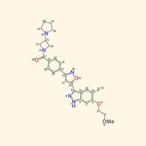 COCCOc1cc2[nH]nc(-c3cc(-c4ccc(C(=O)N5CC(N6CCCC6)C5)cc4)no3)c2cc1F